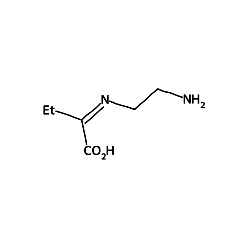 CCC(=NCCN)C(=O)O